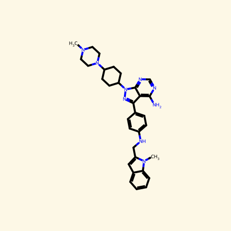 CN1CCN(C2CCC(n3nc(-c4ccc(NCc5cc6ccccc6n5C)cc4)c4c(N)ncnc43)CC2)CC1